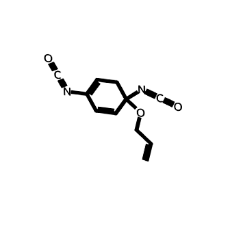 C=CCOC1(N=C=O)C=CC(N=C=O)=CC1